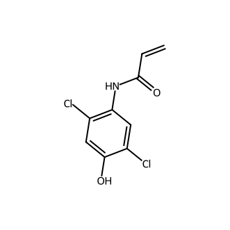 C=CC(=O)Nc1cc(Cl)c(O)cc1Cl